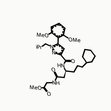 COC(=O)CNC(=O)C[C@H](CCCC1CCCCC1)NC(=O)c1cc(-c2c(OC)cccc2OC)n(CC(C)C)n1